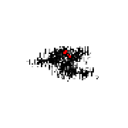 C=C(C)C(=O)OCCC[Si]1(C)O[Si](C)(C)O[Si](C)(CC[Si](C)(C)O[Si](C)(C)O[Si](C)(C)CC[Si](C)(C)O[Si](O[Si](C)(C)CC[Si](C)(C)C)(O[Si](C)(C)CC[Si](C)(C)O[SiH](C)C)O[Si](C)(C)CC[Si](C)(C)O[Si](C)(C)O[Si](C)(C)CC[Si]2(C)O[Si](C)(C)O[Si](C)(CCCOC(=O)C(=C)C)O[Si](C)(CC)O2)O[Si](C)(C)O1